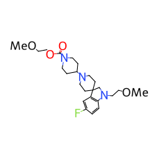 COCCOC(=O)N1CCC(N2CCC3(CC2)CN(CCOC)c2ccc(F)cc23)CC1